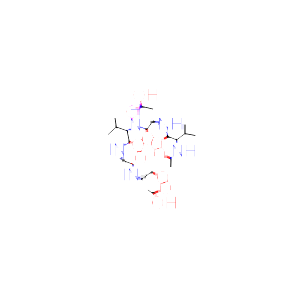 CC(=O)NC(C(=O)N[C@@H](CC(=O)O)C(=O)NC(C(=O)N[C@@H](C)C(=O)N[C@H](C=O)CC(=O)O)C(C)C)C(C)C